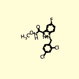 CONC(=O)c1nn(Cc2ccc(Cl)cc2Cl)c2ccc(F)cc12